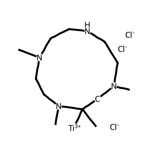 CN1CCNCCN(C)C[C](C)([Ti+3])N(C)CC1.[Cl-].[Cl-].[Cl-]